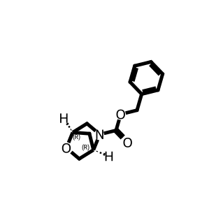 O=C(OCc1ccccc1)N1C[C@H]2C[C@@H]1CO2